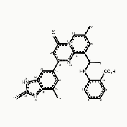 Cc1cc(C(C)Nc2ccccc2C(=O)O)c2nc(-c3cc(C)c4oc(=O)[nH]c4c3)cc(=O)n2c1